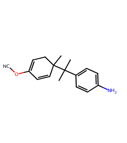 CC1(C(C)(C)c2ccc(N)cc2)C=CC(OC#N)=CC1